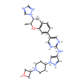 C[C@@H](Cn1cncn1)Oc1cc(-c2cnc(Nc3cnn(C4CCN(C5COC5)CC4)c3)nc2)ccc1C#N